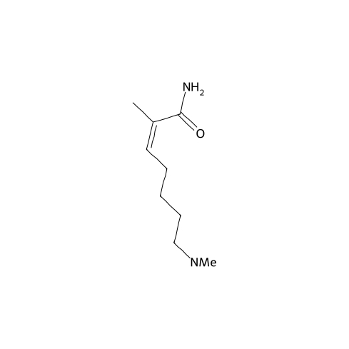 CNCCCCC=C(C)C(N)=O